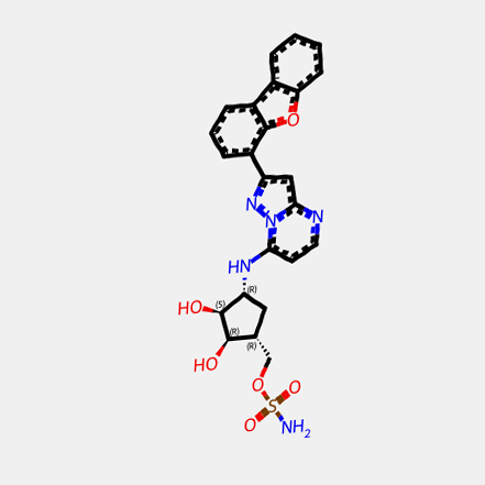 NS(=O)(=O)OC[C@H]1C[C@@H](Nc2ccnc3cc(-c4cccc5c4oc4ccccc45)nn23)[C@H](O)[C@@H]1O